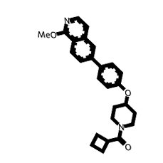 COc1nccc2cc(-c3ccc(OC4CCN(C(=O)C5CCC5)CC4)cc3)ccc12